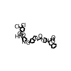 O=C(CN1CCc2cc(Oc3ccc(NS(=O)(=O)c4ccc(Cl)c(Cl)c4)cn3)ccc21)N1CCN(C(Cc2ccccc2)C2=COCO2)CC1